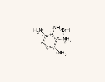 Br.Nc1ccc(N)c(N)c1N